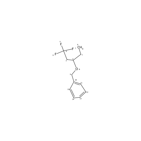 CCC(CC(F)(F)F)OCc1ccccc1